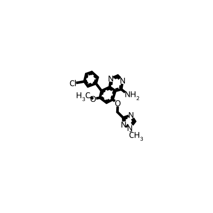 COc1cc(OCc2ncn(C)n2)c2c(N)ncnc2c1-c1cccc(Cl)c1